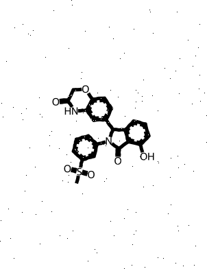 CS(=O)(=O)c1cccc(N2C(=O)c3c(O)cccc3C2c2ccc3c(c2)NC(=O)CO3)c1